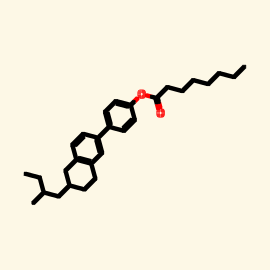 CCCCCCCC(=O)Oc1ccc(-c2ccc3c(c2)CCC(CC(C)CC)C3)cc1